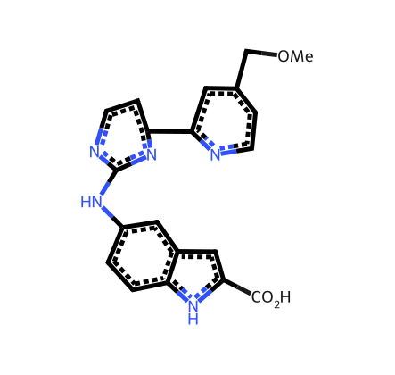 COCc1ccnc(-c2ccnc(Nc3ccc4[nH]c(C(=O)O)cc4c3)n2)c1